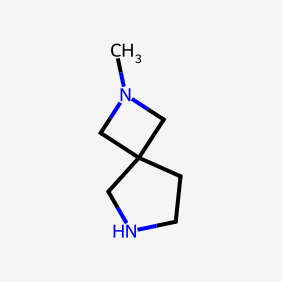 CN1CC2(CCNC2)C1